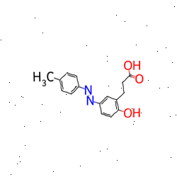 Cc1ccc(N=Nc2ccc(O)c(CCC(=O)O)c2)cc1